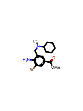 [CH2]OC(=O)c1cc(Br)c(N)c(CN(CC)C2CCCCC2)c1